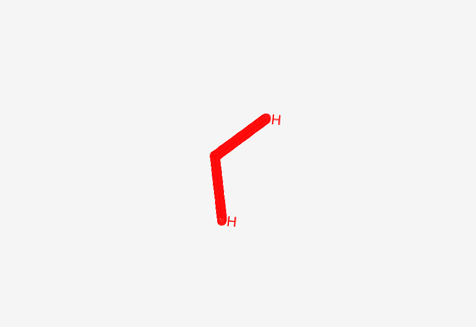 O=S(=O)(OOOOOOOOOOOOOOOOOOOOOOOOOOOOOOOOOOOOOOOOOOOOOOOOOOOOOOOOOOOOOOOOOOOOOOOO)OOOOOOOOOOOOOOOOOOOOOOOOOOOOOOOOOOOOOOOOOOOOOOOOOOOOOOOOOOOOOOOOOOOOOOOOO